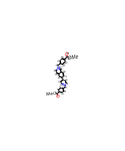 COC(=O)c1ccc(C[n+]2ccc(-c3ccc4c[n+](Cc5ccc(C(=O)OC)cc5)ccc4c3)cc2)cc1